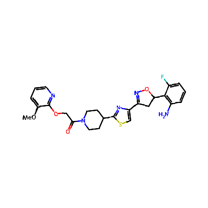 COc1cccnc1OCC(=O)N1CCC(c2nc(C3=NOC(c4c(N)cccc4F)C3)cs2)CC1